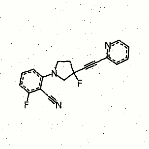 N#Cc1c(F)cccc1N1CCC(F)(C#Cc2ccccn2)C1